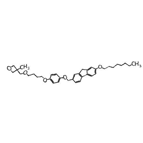 CCCCCCCCOc1ccc2c(c1)Cc1cc(COc3ccc(OCCCCOCC4(C)COC4)cc3)ccc1-2